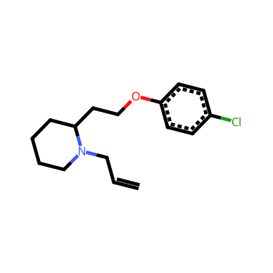 C=CCN1CCCCC1CCOc1ccc(Cl)cc1